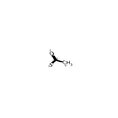 CC(=O)[S]